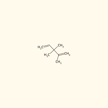 C=CC(C)(C)C(=C)C